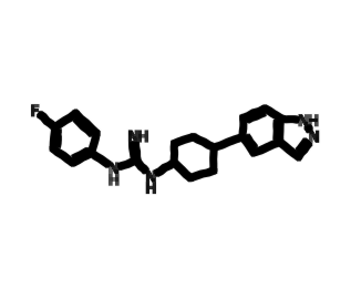 N=C(Nc1ccc(F)cc1)NC1CCC(c2ccc3[nH]ncc3c2)CC1